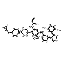 C=CC(=O)Nc1cc(Nc2cc(N3OCCC3c3cc(F)ccc3F)ncn2)c(OC)cc1N1CCC(N2CCN(CC3CC3)CC2)CC1